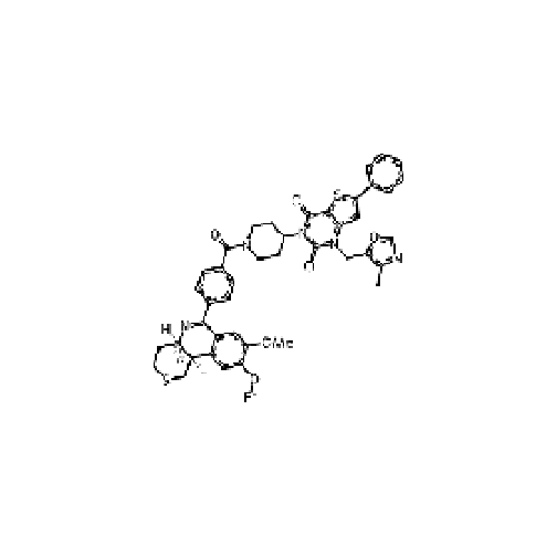 CCOc1cc2c(cc1OC)C(c1ccc(C(=O)N3CCC(n4c(=O)c5sc(-c6ccccc6)cc5n(Cc5ocnc5C)c4=O)CC3)cc1)=N[C@@H]1CCSC[C@H]21